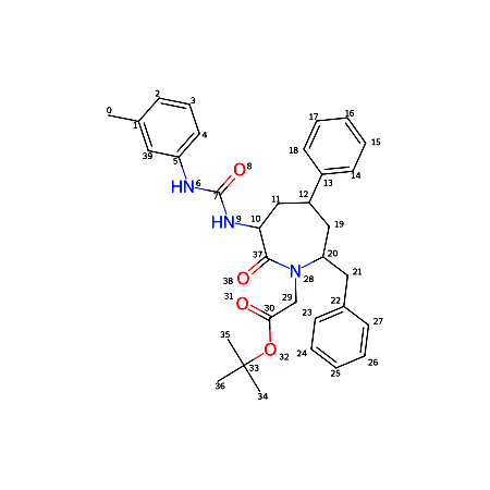 Cc1cccc(NC(=O)NC2CC(c3ccccc3)CC(Cc3ccccc3)N(CC(=O)OC(C)(C)C)C2=O)c1